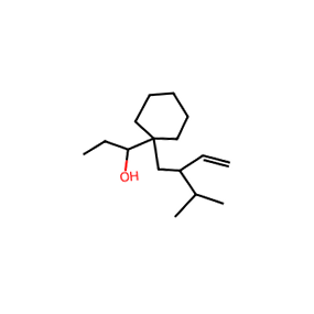 C=CC(CC1(C(O)CC)CCCCC1)C(C)C